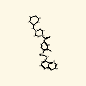 C=C(c1ccc(NSc2cccc3cccnc23)c(C)c1)N1CCN(CC2CCCCC2)CC1